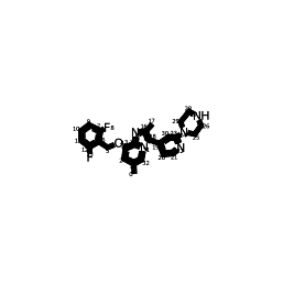 Cc1cc(OCc2c(F)cccc2F)c2nc(C)c(-c3ccnc(N4CCNCC4)c3)n2c1